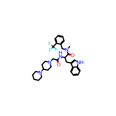 CN(Cc1ccccc1C(F)(F)F)C(=O)C(Cc1c[nH]c2ccccc12)NC(=O)CN1CCC(N2CCCCC2)CC1